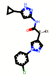 CC[C@@H](C(=O)Nc1cc(C2CC2)[nH]n1)c1cnn(-c2cccc(Cl)c2)c1